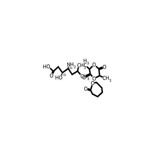 CC(C)C[C@H](N)[C@@H](O)CC(=O)O.CC1OC(=O)C(C)OC1=O.O=C1CCCCCO1